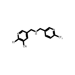 CCc1ncc(CNCc2ccc(C(F)(F)F)nc2)cc1C#N